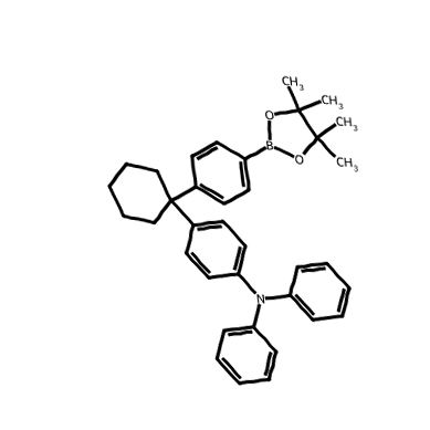 CC1(C)OB(c2ccc(C3(c4ccc(N(c5ccccc5)c5ccccc5)cc4)CCCCC3)cc2)OC1(C)C